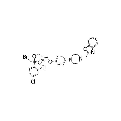 Clc1ccc([C@@]2(CBr)OC[C@@H](COc3ccc(N4CCN(Cc5nc6ccccc6o5)CC4)cc3)O2)c(Cl)c1